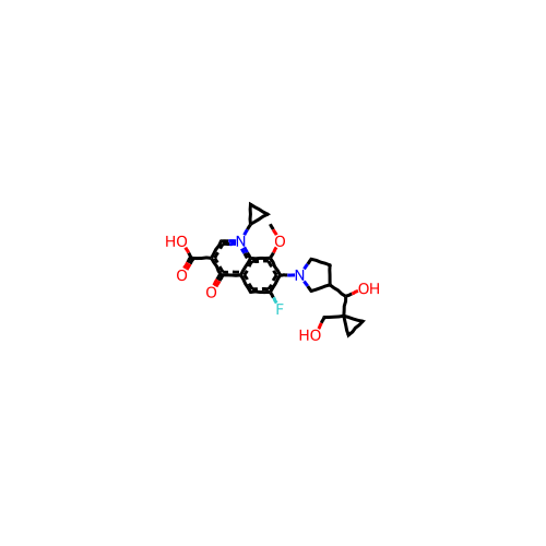 COc1c(N2CCC(C(O)C3(CO)CC3)C2)c(F)cc2c(=O)c(C(=O)O)cn(C3CC3)c12